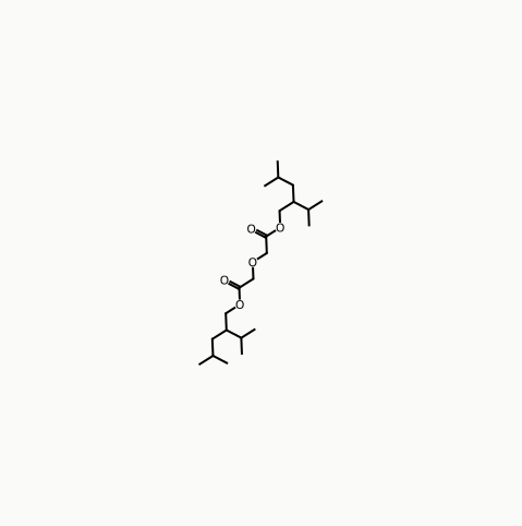 CC(C)CC(COC(=O)COCC(=O)OCC(CC(C)C)C(C)C)C(C)C